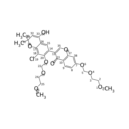 COCCOCOc1ccc2c(=O)c(-c3cc4c(c(Cl)c3OCOCCOC)OC(C)(C)C=C4O)coc2c1